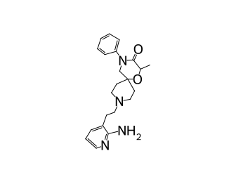 CC1OC2(CCN(CCc3cccnc3N)CC2)CN(c2ccccc2)C1=O